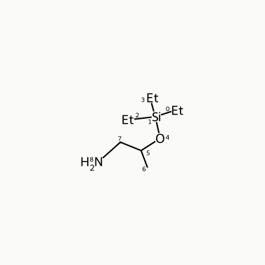 CC[Si](CC)(CC)OC(C)CN